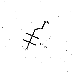 Br.Br.CC(C)(N)C(C)(C)CCN